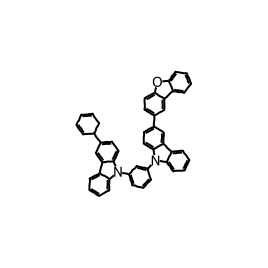 C1=CCC(c2ccc3c(c2)c2ccccc2n3-c2cccc(-n3c4ccccc4c4cc(-c5ccc6oc7ccccc7c6c5)ccc43)c2)C=C1